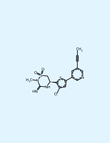 CC#Cc1cncc(-c2cc(Cl)c([C@@H]3CS(=O)(=O)N(C)C(=N)N3)s2)c1